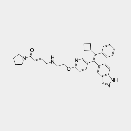 O=C(/C=C/CNCCOc1ccc(/C(=C(/c2ccccc2)C2CCC2)c2ccc3[nH]ncc3c2)cn1)N1CCCC1